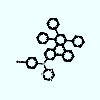 CC(C)(C)c1ccc(N(c2ccc3c(c2)c2ccccc2c2c(-c4ccccc4)cc(-c4ccccc4)c(-c4ccccc4)c32)c2ncncn2)cc1